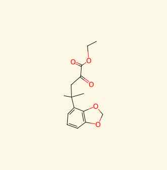 CCOC(=O)C(=O)CC(C)(C)c1cccc2c1OCO2